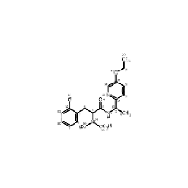 C[C@@H](NC(=O)C(Cc1ccccc1Cl)N(C(=O)O)C(C)(C)C)c1ccc(OCC(F)(F)F)cn1